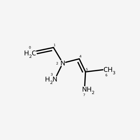 C=CN(N)/C=C(/C)N